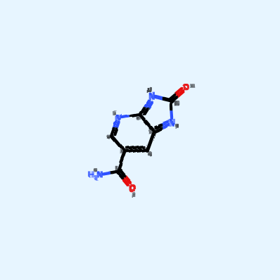 NC(=O)c1cnc2c(c1)=NC(=O)N=2